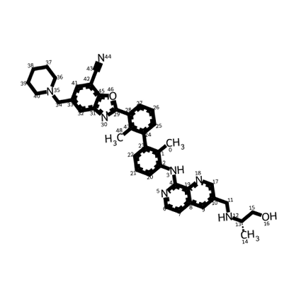 Cc1c(Nc2nccc3cc(CN[C@@H](C)CO)cnc23)cccc1-c1cccc(-c2nc3cc(CN4CCCCC4)cc(C#N)c3o2)c1C